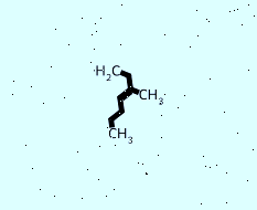 [CH2]CC(C)=CCCC